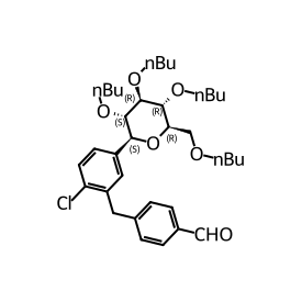 CCCCOC[C@H]1O[C@@H](c2ccc(Cl)c(Cc3ccc(C=O)cc3)c2)[C@H](OCCCC)[C@@H](OCCCC)[C@@H]1OCCCC